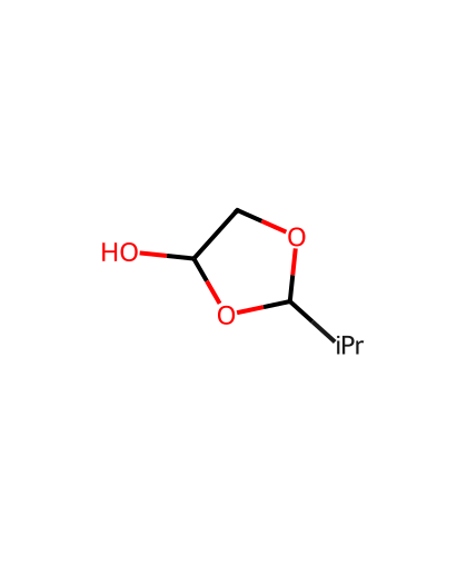 CC(C)C1OCC(O)O1